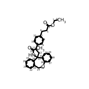 CCOC(=O)CCc1ccc(CCC2(NC(C)=O)c3ccccc3COc3ccccc32)cc1